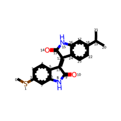 CSc1ccc2c(c1)NC(=O)/C2=C1/C(=O)Nc2cc(C(C)C)ccc21